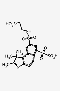 CC1=Nc2ccc3c(S(=O)(=O)S(=O)(=O)O)cc(S(=O)(=O)NCCS(=O)(=O)O)cc3c2C1(C)C